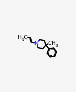 C/C=C/N1CCC(C)(c2ccccc2)CC1